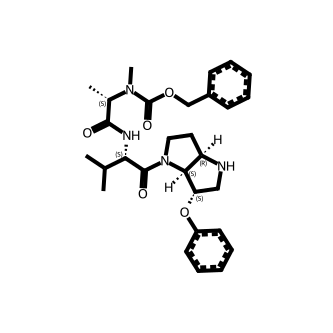 CC(C)[C@H](NC(=O)[C@H](C)N(C)C(=O)OCc1ccccc1)C(=O)N1CC[C@H]2NC[C@H](Oc3ccccc3)[C@H]21